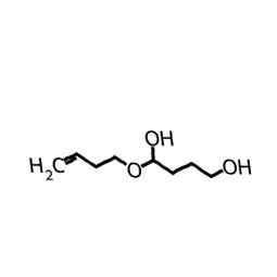 C=CCCOC(O)CCCO